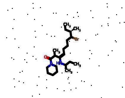 CCC(C)N/C(=C/CCCC(Br)[C@@H](C)CC)C(C)C(=O)N1CCCCC1